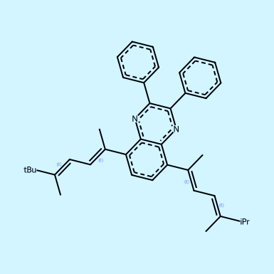 C/C(=C\C=C(/C)C(C)C)c1ccc(/C(C)=C/C=C(\C)C(C)(C)C)c2nc(-c3ccccc3)c(-c3ccccc3)nc12